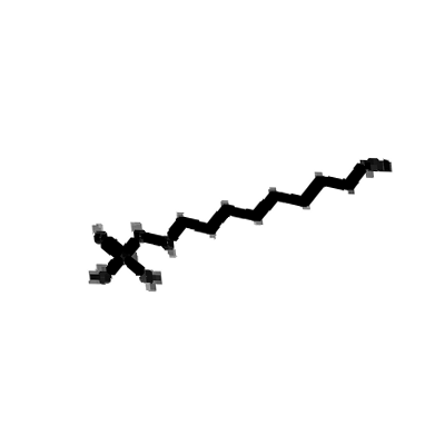 CCCCCCCCCCCCCCCCOOP(=O)(O)O